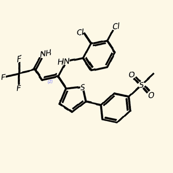 CS(=O)(=O)c1cccc(-c2ccc(/C(=C/C(=N)C(F)(F)F)Nc3cccc(Cl)c3Cl)s2)c1